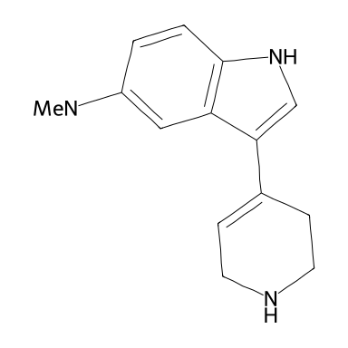 CNc1ccc2[nH]cc(C3=CCNCC3)c2c1